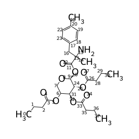 CCCC(=O)OC1CO[C@@H](OC(=O)C(C)(N)Cc2ccc(C)cc2)[C@H](OC(=O)CCC)[C@H]1OC(=O)CCC